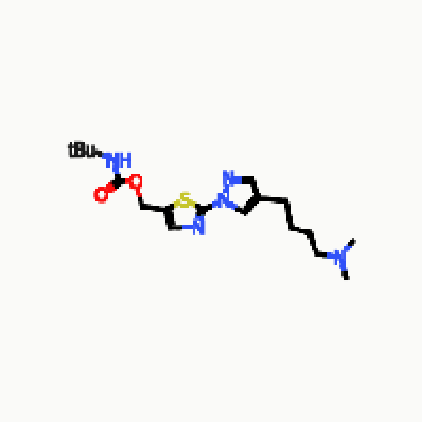 CN(C)CCCCc1cnn(-c2ncc(COC(=O)NC(C)(C)C)s2)c1